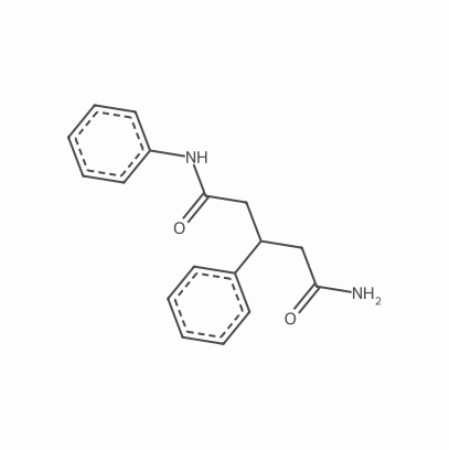 NC(=O)CC(CC(=O)Nc1ccccc1)c1ccccc1